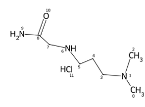 CN(C)CCCNCC(N)=O.Cl